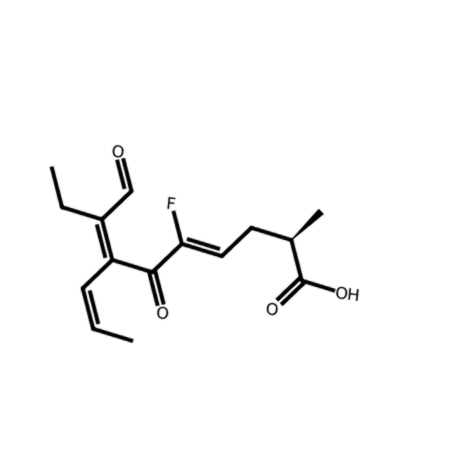 C/C=C\C(C(=O)/C(F)=C/C[C@@H](C)C(=O)O)=C(\C=O)CC